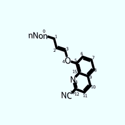 CCCCCCCCCC/C=C/Oc1cccc2ccc(C#N)nc12